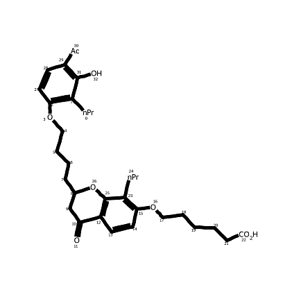 CCCc1c(OCCCCC2CC(=O)c3ccc(OCCCCCC(=O)O)c(CCC)c3O2)ccc(C(C)=O)c1O